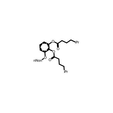 CCCCCCCCCOc1cccc(OC(=O)CCCC(C)C)c1OC(=O)CCCC(C)C